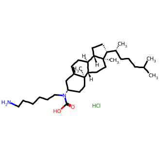 CC(C)CCC[C@@H](C)[C@H]1CC[C@H]2[C@@H]3CC=C4C[C@@H](N(CCCCCCN)C(=O)O)CC[C@]4(C)[C@H]3CC[C@]12C.Cl